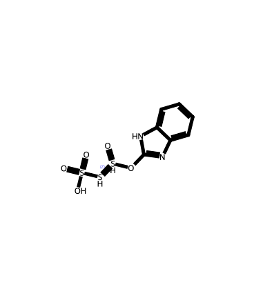 O=[SH](/Oc1nc2ccccc2[nH]1)=[SH]\S(=O)(=O)O